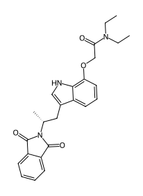 CCN(CC)C(=O)COc1cccc2c(C[C@@H](C)N3C(=O)c4ccccc4C3=O)c[nH]c12